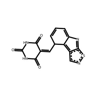 O=C1NC(=O)C(=CC2C=CC=C3N=c4sncc4=C32)C(=O)N1